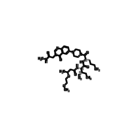 CCCC[C@H](NC(=O)[C@@H](NC(=O)CC(C)OCCOC)[C@@H](C)CC)C(=O)N1CCN(c2ccc3ncn(CC(=O)NC)c(=O)c3c2)CC1